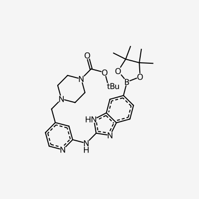 CC(C)(C)OC(=O)N1CCN(Cc2ccnc(Nc3nc4ccc(B5OC(C)(C)C(C)(C)O5)cc4[nH]3)c2)CC1